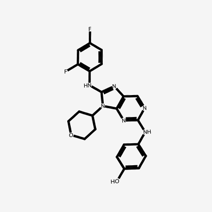 Oc1ccc(Nc2ncc3nc(Nc4ccc(F)cc4F)n(C4CCOCC4)c3n2)cc1